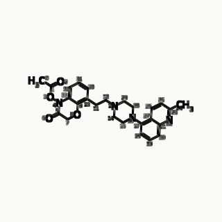 CC(=O)ON1C(=O)COc2c(CCN3CCN(c4cccc5nc(C)ccc45)CC3)cccc21